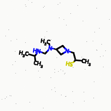 CC(S)CN1CC(N(C)CNC(C)C)C1